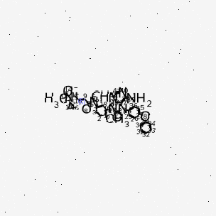 Cc1ccc(N(C)C(=O)/C=C/C[N+](C)([O-])C2CC2)cc1-n1c(=O)n(-c2ccc(Oc3ccccc3)cc2)c2c(N)ncnc21